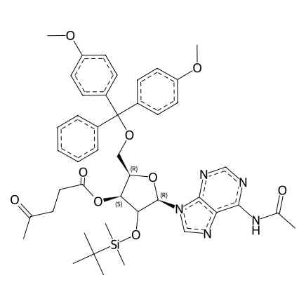 COc1ccc(C(OC[C@H]2O[C@@H](n3cnc4c(NC(C)=O)ncnc43)C(O[Si](C)(C)C(C)(C)C)[C@H]2OC(=O)CCC(C)=O)(c2ccccc2)c2ccc(OC)cc2)cc1